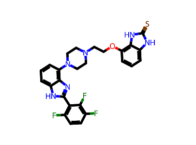 Fc1ccc(F)c(-c2nc3c(N4CCN(CCOc5cccc6[nH]c(=S)[nH]c56)CC4)cccc3[nH]2)c1F